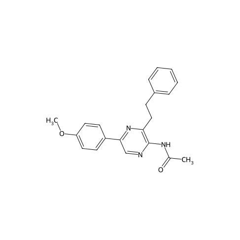 COc1ccc(-c2cnc(NC(C)=O)c(CCc3ccccc3)n2)cc1